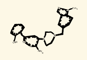 Cn1ncc2cc(CN3CCN(c4cc(-c5ccccc5O)nnc4N)CC3)ccc21